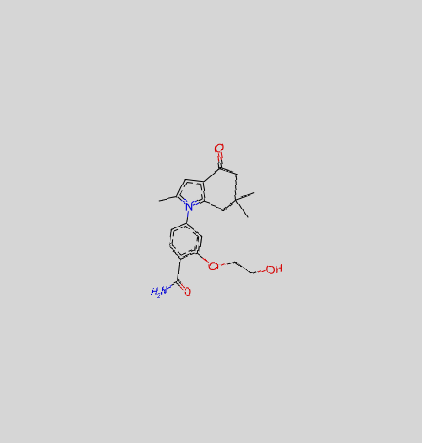 Cc1cc2c(n1-c1ccc(C(N)=O)c(OCCO)c1)CC(C)(C)CC2=O